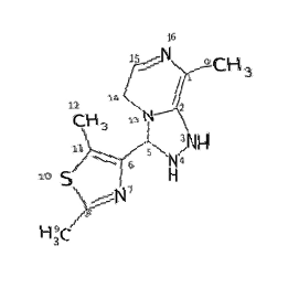 CC1=C2NNC(c3nc(C)sc3C)N2CC=N1